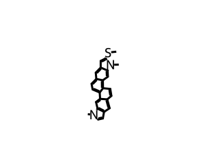 CSc1cc2cc3ccc4c5cc6c(ccn6C)cc5ccc4c3cc2n1C